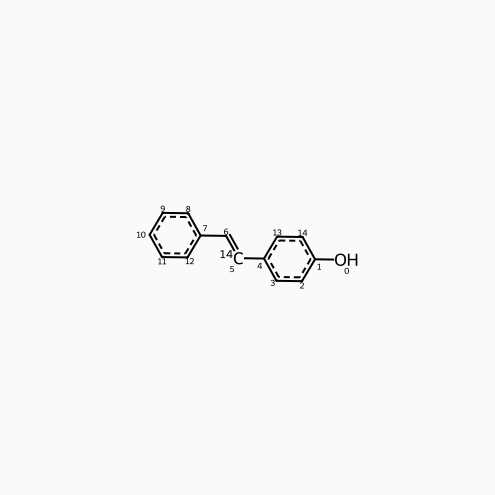 Oc1ccc([14CH]=Cc2ccccc2)cc1